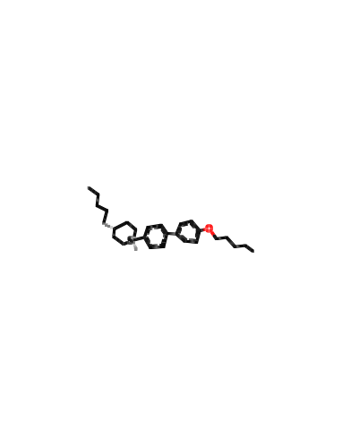 CCCCCOc1ccc(-c2ccc([Si@]3(C)CC[C@@H](CCCCC)CC3)cc2)cc1